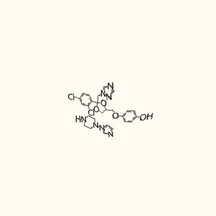 Oc1ccc(OCC2COC(Cn3cncn3)(c3ccc(Cl)cc3Cl)O2)cc1.c1cn(N2CCNCC2)cn1